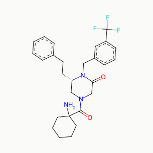 NC1(C(=O)N2CC(=O)N(Cc3cccc(C(F)(F)F)c3)[C@@H](CCc3ccccc3)C2)CCCCC1